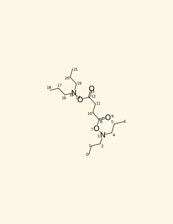 CCCN(CCC)OC(=O)CCC(=O)ON(CCC)CCC